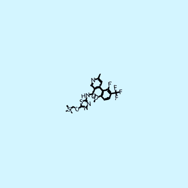 COc1ccc(C(F)(F)F)c(F)c1-c1cc(C)ncc1C(=O)Nc1nnc(OC[Si](C)(C)C)s1